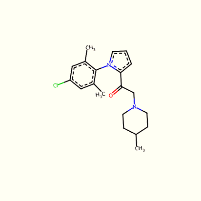 Cc1cc(Cl)cc(C)c1-n1cccc1C(=O)CN1CCC(C)CC1